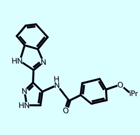 CC(C)Oc1ccc(C(=O)Nc2c[nH]nc2-c2nc3ccccc3[nH]2)cc1